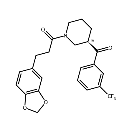 O=C(c1cccc(C(F)(F)F)c1)[C@@H]1CCCN(C(=O)CCc2ccc3c(c2)OCO3)C1